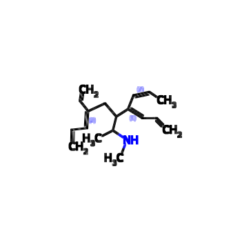 C=C/C=C(\C=C)CC(C(/C=C\C)=C/C=C)C(C)NC